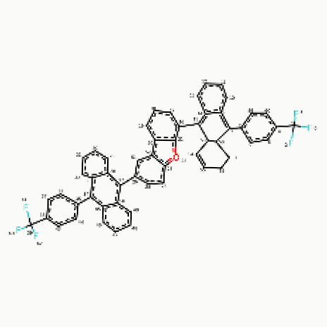 FC(F)(F)c1ccc(C2=c3ccccc3=C(c3cccc4c3oc3ccc(-c5c6ccccc6c(-c6ccc(C(F)(F)F)cc6)c6ccccc56)cc34)C3C=CCCC23)cc1